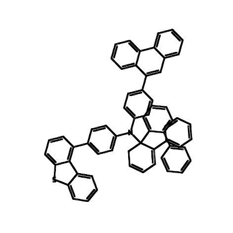 C1=CCC(c2ccccc2-c2ccccc2)(N(c2ccc(-c3cc4ccccc4c4ccccc34)cc2)c2ccc(-c3cccc4sc5ccccc5c34)cc2)C(c2ccccc2)=C1